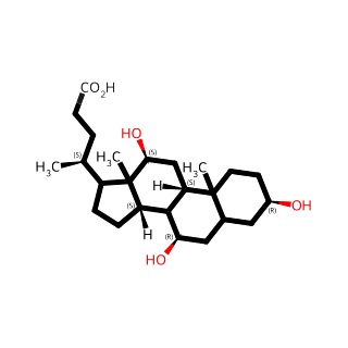 C[C@@H](CCC(=O)O)C1CC[C@H]2C3[C@H](O)CC4C[C@H](O)CCC4(C)[C@H]3C[C@H](O)C12C